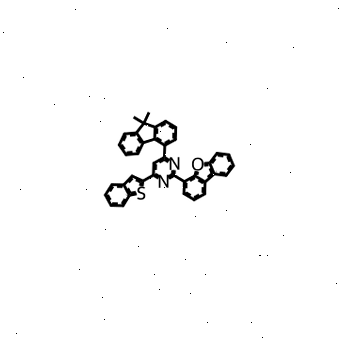 CC1(C)c2ccccc2-c2c(-c3cc(-c4cc5ccccc5s4)nc(-c4cccc5c4oc4ccccc45)n3)cccc21